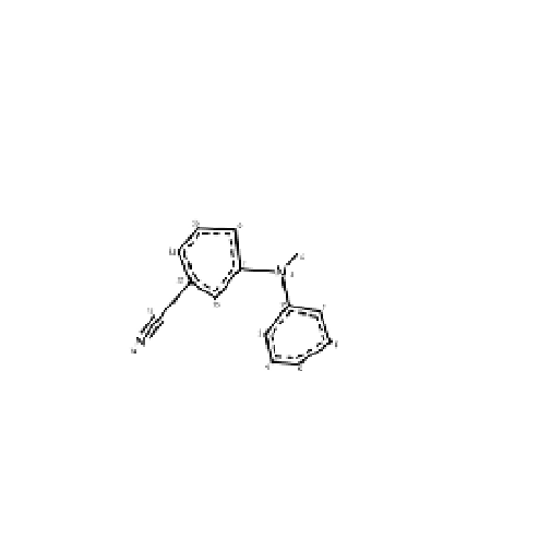 CN(c1ccccc1)c1cccc(C#N)c1